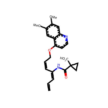 C=C/C=C(\C=C/COc1ccnc2cc(OC)c(OC)cc12)NC(=O)C1(C(=O)O)CC1